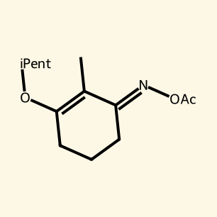 CCCC(C)OC1=C(C)C(=NOC(C)=O)CCC1